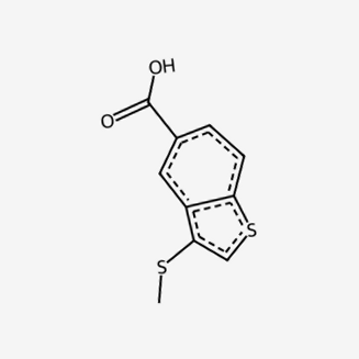 CSc1csc2ccc(C(=O)O)cc12